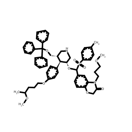 COCCCN1C(=O)COc2ccc(C(O[C@H]3CNC[C@@H](COC(c4ccccc4)(c4ccccc4)c4ccccc4)[C@@H]3c3ccc(OCCCC(C)OC)cc3)S(=O)(=O)c3ccc(C)cc3)cc21